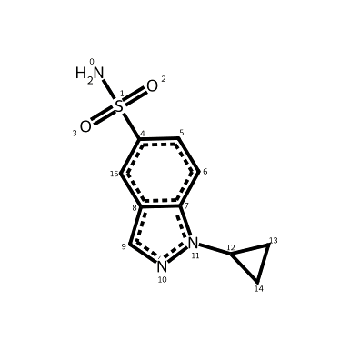 NS(=O)(=O)c1ccc2c(cnn2C2CC2)c1